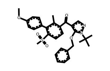 COc1ccc(-c2c(S(C)(=O)=O)ccc(C(=O)c3cnn(C(C)(C)C)c3OCc3ccccc3)c2C)cc1